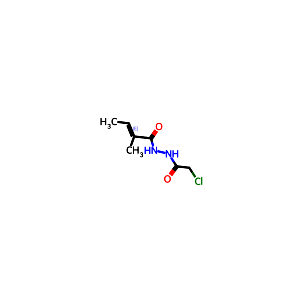 C/C=C(\C)C(=O)NNC(=O)CCl